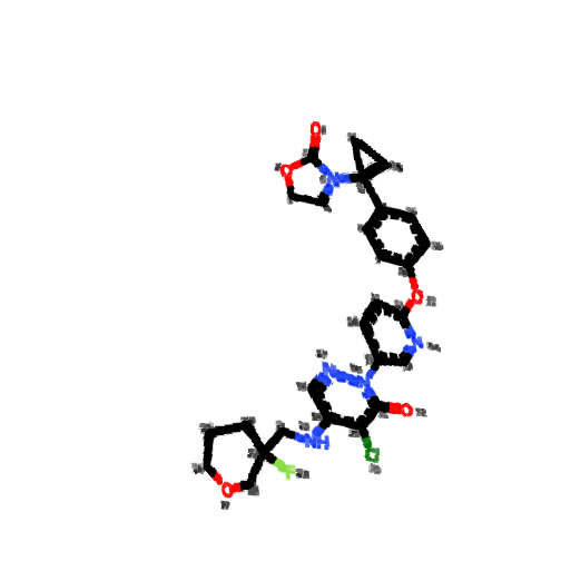 O=C1OCCN1C1(c2ccc(Oc3ccc(-n4ncc(NCC5(F)CCCOC5)c(Cl)c4=O)cn3)cc2)CC1